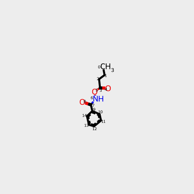 CCCC(=O)ONC(=O)c1ccccc1